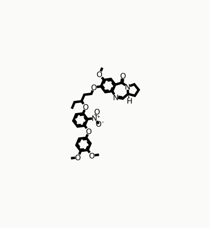 CCC(CCOc1cc2c(cc1OC)C(=O)N1CCC[C@H]1C=N2)Oc1cccc(Oc2ccc(OC)c(OC)c2)c1[N+](=O)[O-]